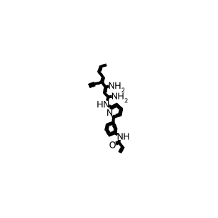 C#CC(=C\C=C/C)/C(N)=C/C(N)Nc1cccc(-c2cccc(NC(=O)C=C)c2)n1